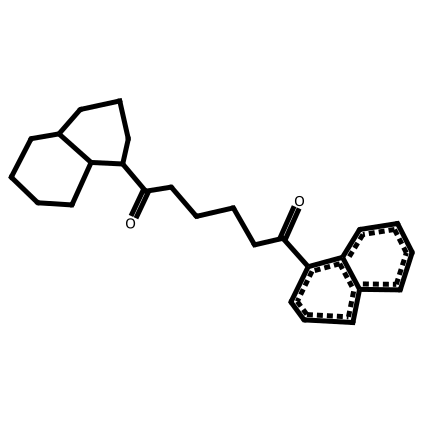 O=C(CCCCC(=O)C1CCCC2CCCCC21)c1cccc2ccccc12